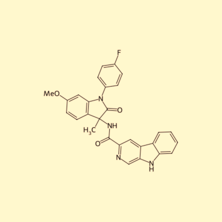 COc1ccc2c(c1)N(c1ccc(F)cc1)C(=O)C2(C)NC(=O)c1cc2c(cn1)[nH]c1ccccc12